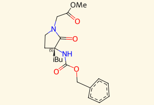 CCC(C)[C@@]1(NC(=O)OCc2ccccc2)CCN(CC(=O)OC)C1=O